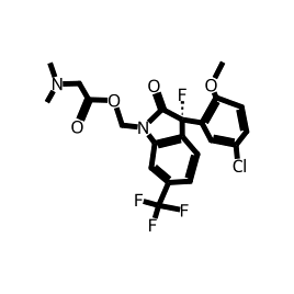 COc1ccc(Cl)cc1[C@]1(F)C(=O)N(COC(=O)CN(C)C)c2cc(C(F)(F)F)ccc21